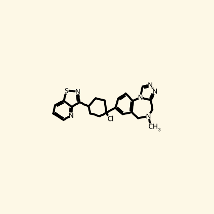 CN1Cc2cc(C3(Cl)CCC(c4nsc5cccnc45)CC3)ccc2-n2cnnc2C1